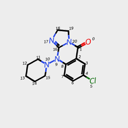 O=C1c2cc(Cl)ccc2N(N2CCCCC2)C2=NCCN12